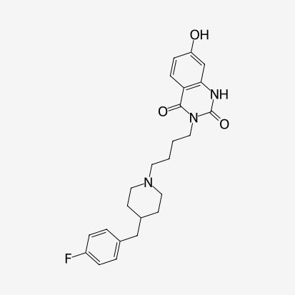 O=c1[nH]c2cc(O)ccc2c(=O)n1CCCCN1CCC(Cc2ccc(F)cc2)CC1